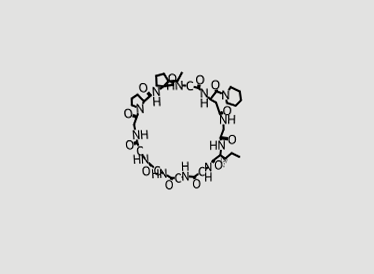 CCC1CCCC12NC(=O)C1CCCN1C(=O)CNC(=O)CNC(=O)CNC(=O)CNC(=O)CNC(=O)C([C@@H](C)CC)NC(=O)CNC(=O)CC(C(=O)N1CCCCC1)NC(=O)CNC2=O